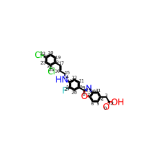 O=C(O)Cc1ccc2oc(-c3ccc(NCC=Cc4ccc(Cl)cc4Cl)c(F)c3)nc2c1